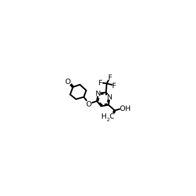 C=C(O)c1cc(OC2CCC(=O)CC2)nc(C(F)(F)F)n1